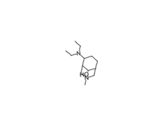 CCN(CC)C1CCC2CN(C)CC1C2O